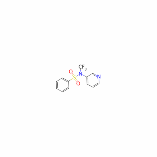 O=S(=O)(c1ccccc1)N(c1cccnc1)C(F)(F)F